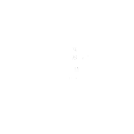 CC(C)(C)OC(=O)NC1(C(=O)NNc2ccc(Cl)cc2)CCC1